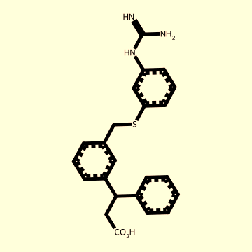 N=C(N)Nc1cccc(SCc2cccc(C(CC(=O)O)c3ccccc3)c2)c1